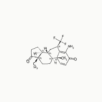 C[C@]12C=CC(=O)C(N)=C1[C@H](C(F)(F)F)C[C@@H]1[C@@H]2CC[C@]2(C)C(=O)CC[C@@H]12